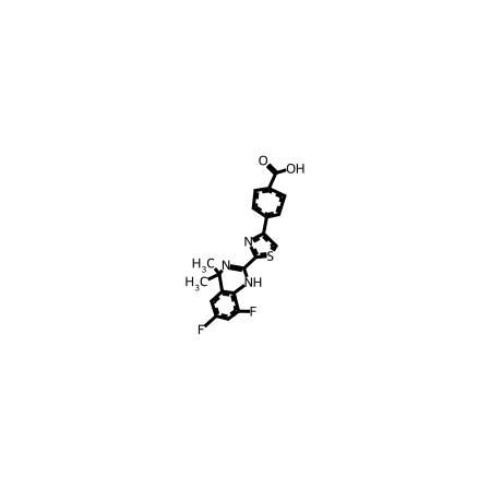 CC1(C)N=C(c2nc(-c3ccc(C(=O)O)cc3)cs2)Nc2c(F)cc(F)cc21